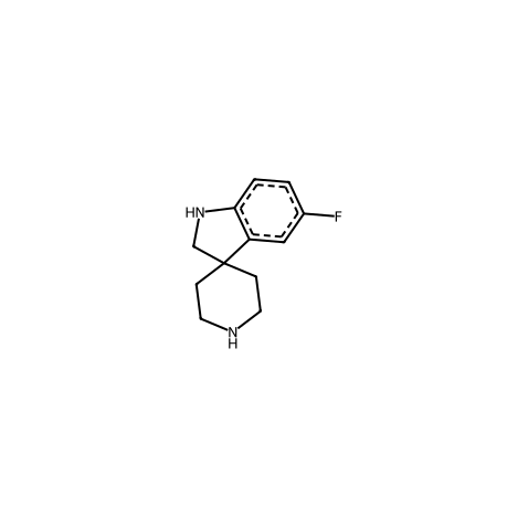 Fc1ccc2c(c1)C1(CCNCC1)CN2